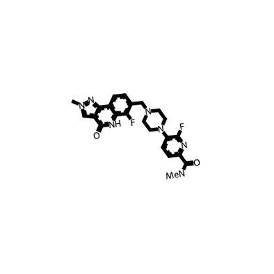 CNC(=O)c1ccc(N2CCN(Cc3ccc4c([nH]c(=O)c5cn(C)nc54)c3F)CC2)c(F)n1